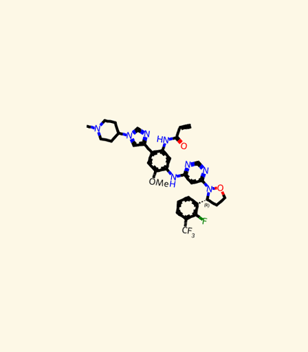 C=CC(=O)Nc1cc(Nc2cc(N3OCC[C@@H]3c3cccc(C(F)(F)F)c3F)ncn2)c(OC)cc1-c1cn(C2CCN(C)CC2)cn1